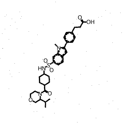 CC(C)C1COCCN1C(=O)C1CCC(NS(=O)(=O)c2ccc3cc(-c4ccc(CCC(=O)O)cc4)n(C)c3c2)CC1